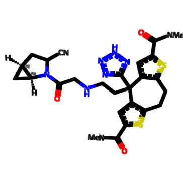 CNC(=O)c1cc2c(s1)CCc1sc(C(=O)NC)cc1C2(CCNCC(=O)N1C(C#N)C[C@@H]2C[C@@H]21)c1nn[nH]n1